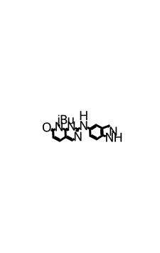 CCC(C)n1c(=O)ccc2cnc(Nc3ccc4[nH]ncc4c3)nc21